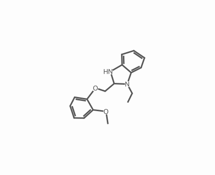 CCN1c2ccccc2NC1COc1ccccc1OC